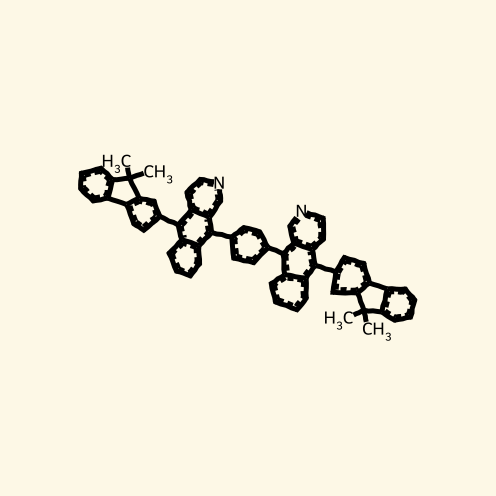 CC1(C)c2ccccc2-c2ccc(-c3c4ccccc4c(-c4ccc(-c5c6ccccc6c(-c6ccc7c(c6)C(C)(C)c6ccccc6-7)c6ccncc56)cc4)c4cnccc34)cc21